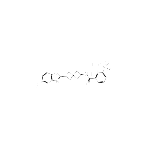 Cc1ccc2sc(C3CC4(CC(NC(=O)c5cccc(P(C)(C)=O)c5)C4)C3)nc2c1